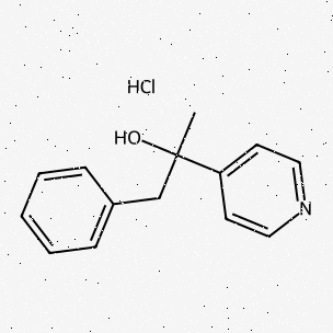 CC(O)(Cc1ccccc1)c1ccncc1.Cl